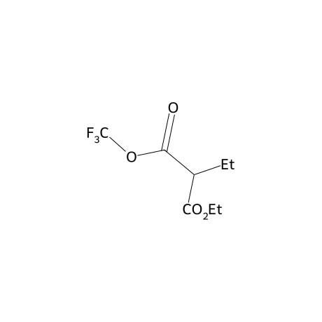 CCOC(=O)C(CC)C(=O)OC(F)(F)F